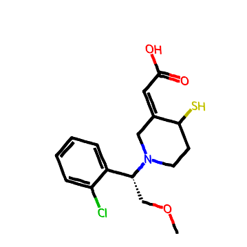 COC[C@H](c1ccccc1Cl)N1CCC(S)/C(=C\C(=O)O)C1